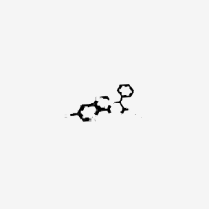 COC(=O)C(c1ccccc1)n1cnc2cc(Br)cnc2c1=O